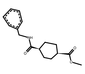 COC(=O)[C@H]1CC[C@@H](C(=O)NCc2ccccc2)CC1